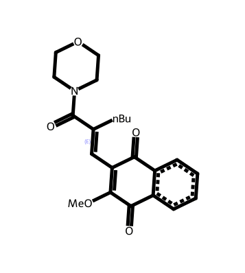 CCCC/C(=C\C1=C(OC)C(=O)c2ccccc2C1=O)C(=O)N1CCOCC1